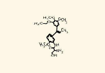 CC=C(c1ccc(OC)c(NC(=O)C(N)CO)c1)c1cc(OC)c(OC)c(OCC)c1